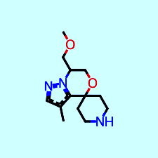 COCC1COC2(CCNCC2)c2c(C)cnn21